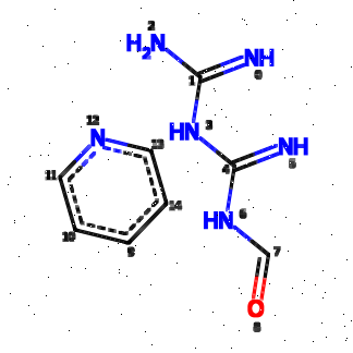 N=C(N)NC(=N)NC=O.c1ccncc1